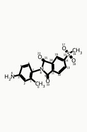 Cc1cc(N)ccc1N1C(=O)c2ccc(S(C)(=O)=O)cc2C1=O